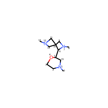 CN1CCOC(C2N(C)CC23CN(C)C3)C1